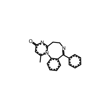 Cc1cc(=O)nc2n1-c1ccccc1C(c1ccccc1)=NCC2